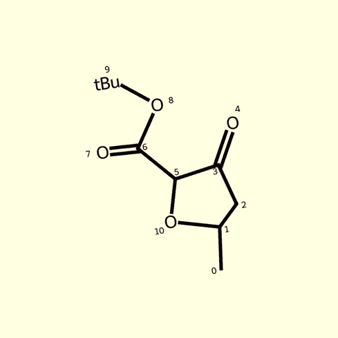 CC1CC(=O)C(C(=O)OC(C)(C)C)O1